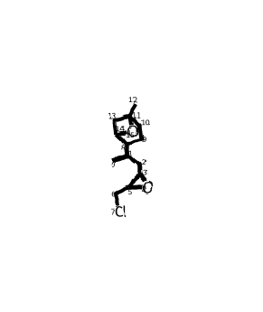 C=C(CC1OC1CCl)C1CCC2(C)CC1O2